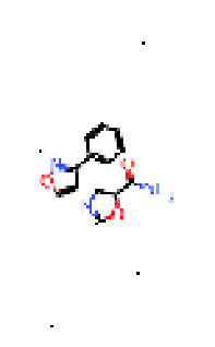 NC(=O)C1CN=CO1.c1ccc(-c2ccon2)cc1